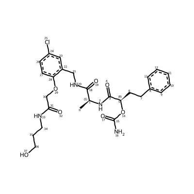 C[C@H](NC(=O)[C@@H](CCc1ccccc1)OC(N)=O)C(=O)NCc1cc(Cl)ccc1OCC(=O)NCCCO